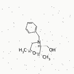 C[C@@H]1CN(Cc2ccccc2)[C@H](CO)[C@H](C)O1